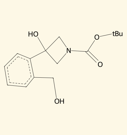 CC(C)(C)OC(=O)N1CC(O)(c2ccccc2CO)C1